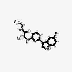 CC[C@@H](Nc1ccnc(-c2c[nH]c3ccc(F)cc23)n1)C(=O)NCC(F)(F)F